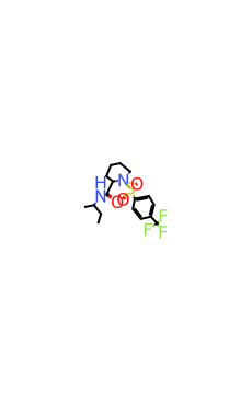 CCC(C)NC(=O)C1CCCCN1S(=O)(=O)c1ccc(C(F)(F)F)cc1